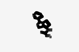 CC(=S)Nc1ccn2c1CSC2c1cccnc1